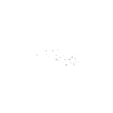 CCCCCC(CN(O)C=O)c1nnc(C[C@H]2NOc3ccccc32)o1